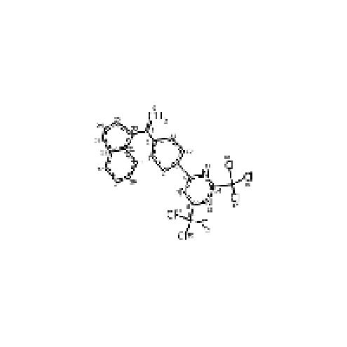 C=C(c1ccc(-c2nc(C(Cl)(Cl)Cl)nc(C(Cl)(Cl)Cl)n2)cc1)c1cccc2ccccc12